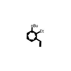 C=Cc1cccc(CCCC)c1CC